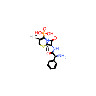 CC1=C(P(=O)(O)O)N2C(=O)[C@@H](NC(=O)C(N)c3ccccc3)[C@@H]2SC1